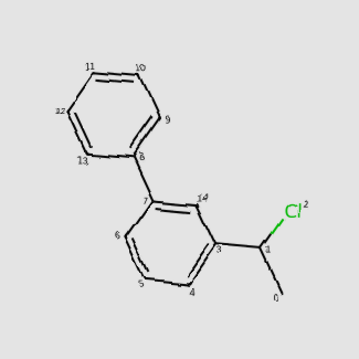 CC(Cl)c1cccc(-c2ccccc2)c1